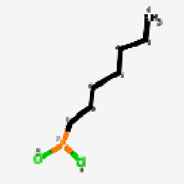 CCCCCCCP(Cl)Cl